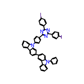 Ic1ccc(-c2nc(-c3ccc(I)cc3)nc(-c3ccc(-n4c5ccccc5c5ccc(-c6ccc7c(c6)c6ccccc6n7-c6ccccc6)cc54)cc3)n2)cc1